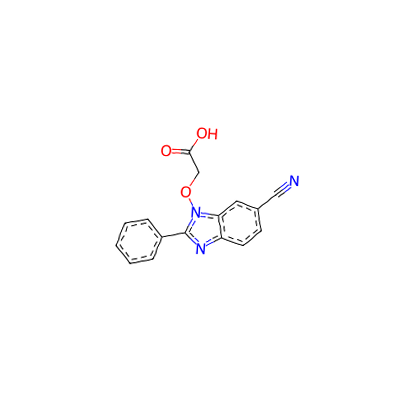 N#Cc1ccc2nc(-c3ccccc3)n(OCC(=O)O)c2c1